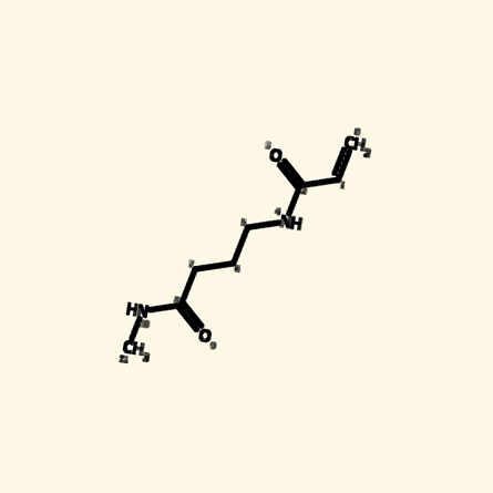 C=CC(=O)NCCCC(=O)NC